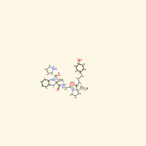 C[C@@](Cc1ccccc1)(NC(=O)[C@@H]1CCCN1)C(=O)NCC(=O)N1CCC[C@]1(C(=O)O)C(=O)CCCc1ccc(O)cc1